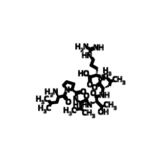 CC(C)C[C@H](NC(=O)[C@@H](NC(=O)[C@@H](NC(=O)[C@@H]1CCCN1C(=O)[C@@H](N)CC(C)C)C(C)C)[C@@H](C)O)C(=O)N[C@@H](CCCNC(=N)N)C(=O)O